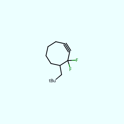 CC(C)(C)CC1CCCCC#CC1(F)F